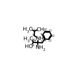 CC(C)CNC(N)(Cc1ccccc1)C(C)O